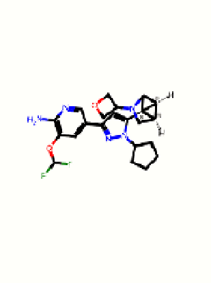 Nc1ncc(-c2cc([C@@]34C5[C@H]3[C@H]4CN5C3COC3)n(C3CCCC3)n2)cc1OC(F)F